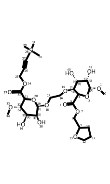 CO[C@@H]1OC(C(=O)OCC2CCCO2)[C@@H](OCCO[C@@H]2OC(C(=O)OCC#C[Si](C)(C)C)[C@@H](OC)[C@H](O)[C@@H]2O)[C@H](O)[C@@H]1O